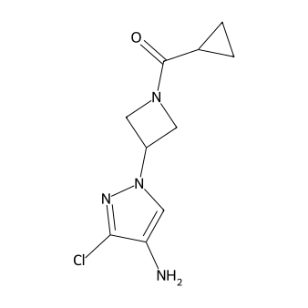 Nc1cn(C2CN(C(=O)C3CC3)C2)nc1Cl